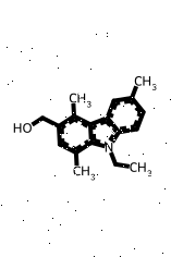 CCn1c2ccc(C)cc2c2c(C)c(CO)cc(C)c21